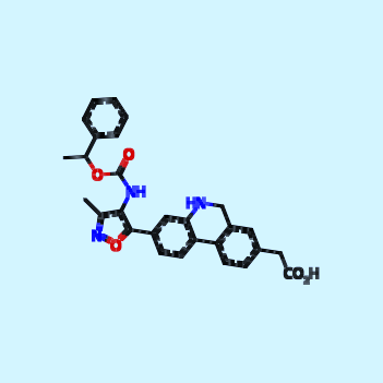 Cc1noc(-c2ccc3c(c2)NCc2cc(CC(=O)O)ccc2-3)c1NC(=O)OC(C)c1ccccc1